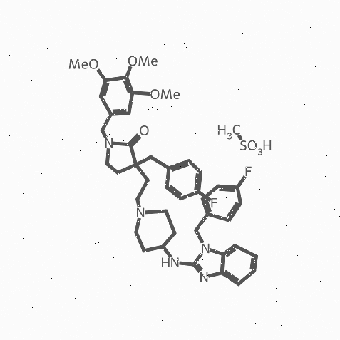 COc1cc(CN2CCC(CCN3CCC(Nc4nc5ccccc5n4Cc4ccc(F)cc4)CC3)(Cc3ccc(F)cc3)C2=O)cc(OC)c1OC.CS(=O)(=O)O